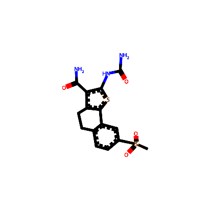 CS(=O)(=O)c1ccc2c(c1)-c1sc(NC(N)=O)c(C(N)=O)c1CC2